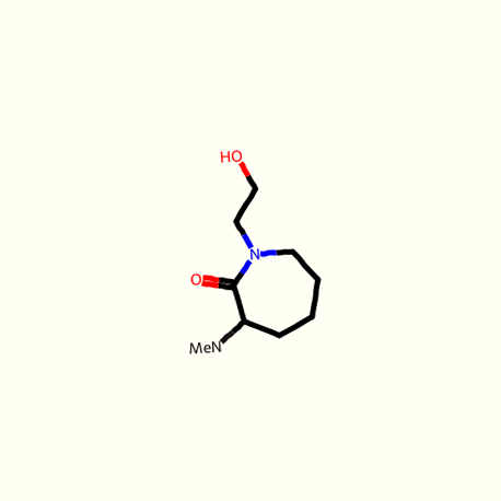 CNC1CCCCN(CCO)C1=O